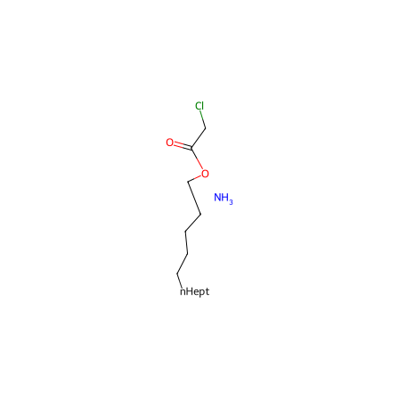 CCCCCCCCCCCCOC(=O)CCl.N